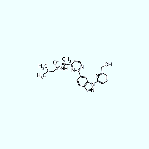 CC(C)C[S+]([O-])N[C@H](C)c1ccnc(-c2ccc3cnn(-c4cccc(CO)n4)c3c2)n1